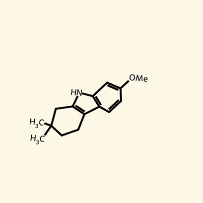 COc1ccc2c3c([nH]c2c1)CC(C)(C)CC3